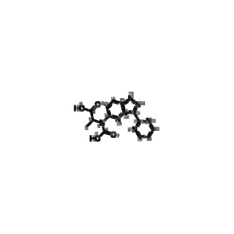 CC(C(=O)O)N(C(=O)O)c1ccc2nnc(-c3ncccn3)n2n1